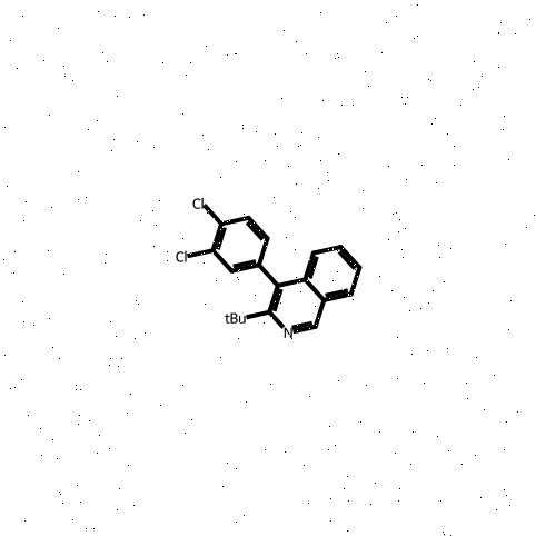 CC(C)(C)c1ncc2ccccc2c1-c1ccc(Cl)c(Cl)c1